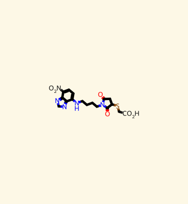 O=C(O)CSC1CC(=O)N(CCCCNc2ccc([N+](=O)[O-])c3c2=NCN=3)C1=O